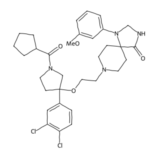 COc1cccc(N2CNC(=O)C23CCN(CCOC2(c4ccc(Cl)c(Cl)c4)CCN(C(=O)C4CCCC4)C2)CC3)c1